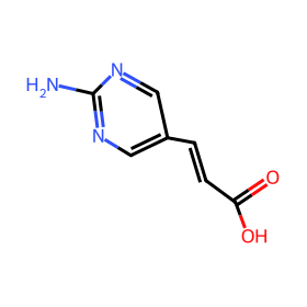 Nc1ncc(C=CC(=O)O)cn1